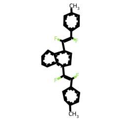 Cc1ccc(/C(F)=C(\F)c2ccc(/C(F)=C(\F)c3ccc(C)cc3)c3ccccc23)cc1